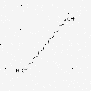 [CH]=C/C=C/CCCCCCCCCCCCCC